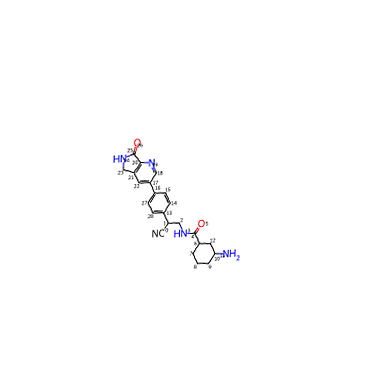 N#CC(CNC(=O)C1CCCC(N)C1)c1ccc(-c2cnc3c(c2)CNC3=O)cc1